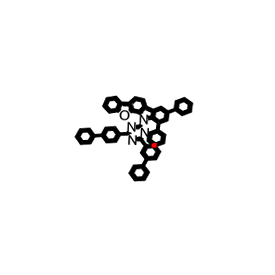 c1ccc(-c2ccc(-c3nc(-c4cccc(-c5ccccc5)c4)nc(-n4c5c(-c6ccccc6)cc(-c6ccccc6)cc5c5ccc6c7ccccc7oc6c54)n3)cc2)cc1